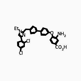 CCn1cc(-c2ccc(Cl)cc2Cl)nc1Cc1ccc(-c2ccc(Oc3ccc(C(=O)O)cc3N)cc2)cc1